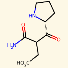 NC(=O)C(CC(=O)O)C(=O)[C@H]1CCCN1